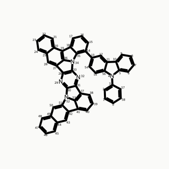 c1ccc(-n2c3ccccc3c3cc(-c4cccc5c6c7ccccc7cc7c8nc9c(nc8n(c45)c76)c4cccc5c6cc7ccccc7cc6n9c54)ccc32)cc1